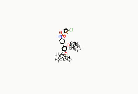 CC(C)(C)[Si](C)(C)Oc1ccc([C@H]2CC[C@@H](NS(=O)(=O)c3ccc(Cl)s3)CC2)c(O[Si](C)(C)C(C)(C)C)c1